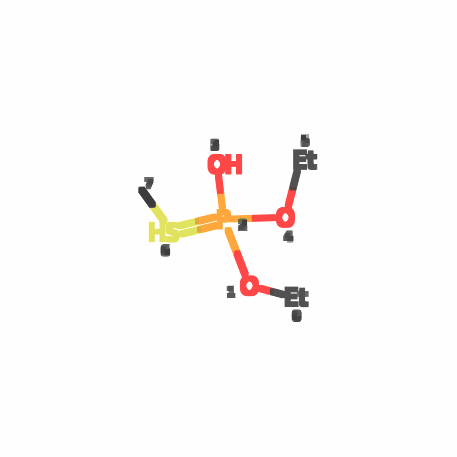 CCOP(O)(OCC)=[SH]C